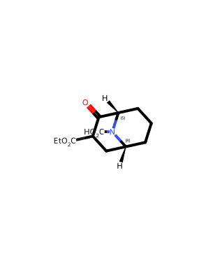 CCOC(=O)C1C[C@H]2CCC[C@@H](C1=O)N2C(=O)O